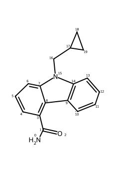 NC(=O)c1cccc2c1c1[c]cccc1n2CC1CC1